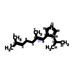 CC(C)=CCC/C(C)=C/c1cncn1C(C)C